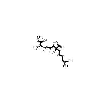 COC(=O)[C@H](C)NCCCC(N)(CCCCB(O)O)C(=O)O